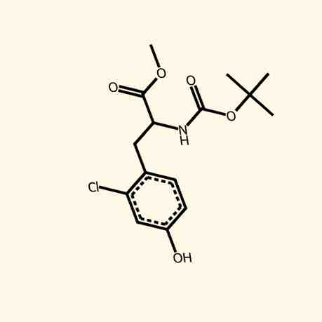 COC(=O)C(Cc1ccc(O)cc1Cl)NC(=O)OC(C)(C)C